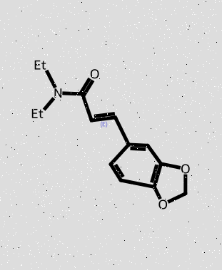 CCN(CC)C(=O)/C=C/c1ccc2c(c1)OCO2